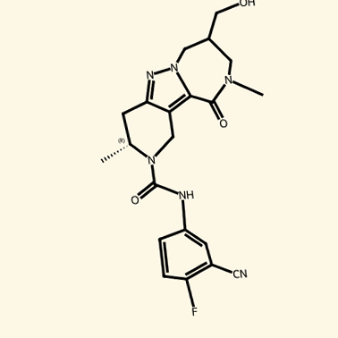 C[C@@H]1Cc2nn3c(c2CN1C(=O)Nc1ccc(F)c(C#N)c1)C(=O)N(C)CC(CO)C3